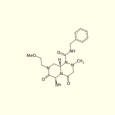 CCC[C@H]1C(=O)N(CCOC)C[C@H]2N1C(=O)CN(C)N2C(=O)NCc1ccccc1